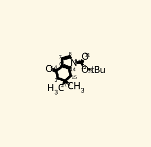 CC1(C)CC(=O)c2ccn(C(=O)OC(C)(C)C)c2C1